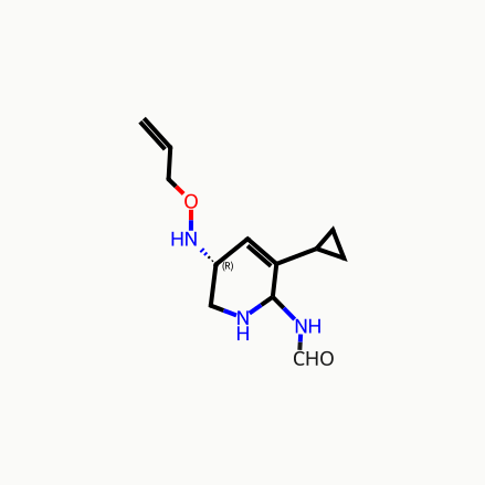 C=CCON[C@@H]1C=C(C2CC2)C(NC=O)NC1